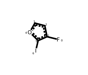 Fc1ccoc1I